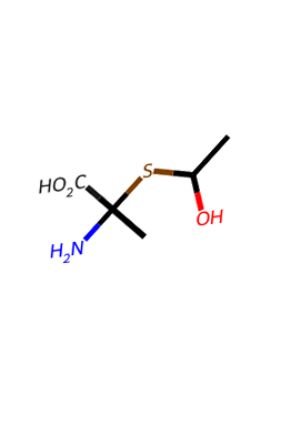 CC(O)SC(C)(N)C(=O)O